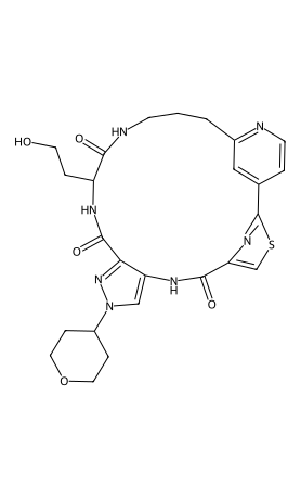 O=C1Nc2cn(C3CCOCC3)nc2C(=O)NC(CCO)C(=O)NCCCc2cc(ccn2)-c2nc1cs2